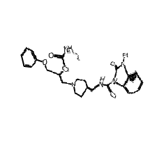 CCn1c(=O)n(C(=O)NCC2CCN(CC(COc3ccccc3)OC(N)=O)CC2)c2ccccc21